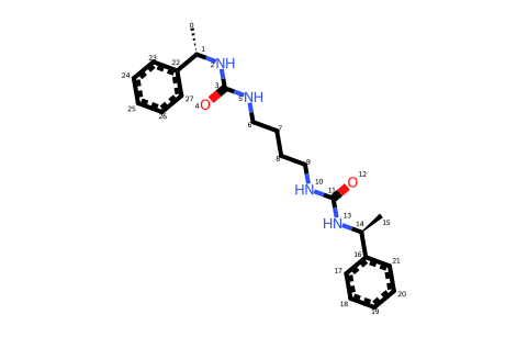 C[C@H](NC(=O)NCCCCNC(=O)N[C@@H](C)c1ccccc1)c1ccccc1